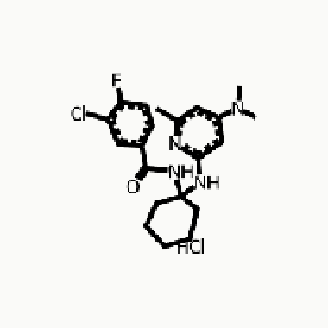 Cc1cc(N(C)C)cc(NC2(NC(=O)c3ccc(F)c(Cl)c3)CCCCC2)n1.Cl